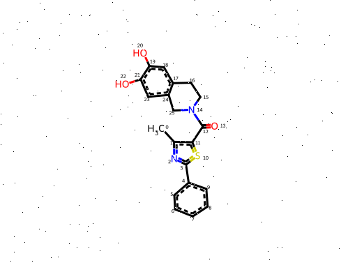 Cc1nc(-c2ccccc2)sc1C(=O)N1CCc2cc(O)c(O)cc2C1